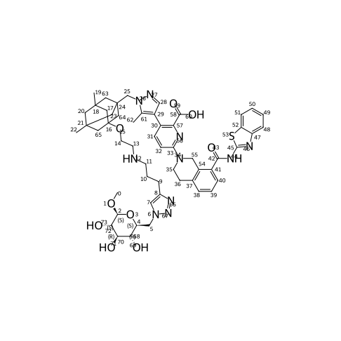 CO[C@H]1O[C@@H](Cn2cc(CCCNCCOC34CC5(C)CC(C)(CC(Cn6ncc(-c7ccc(N8CCc9cccc(C(=O)Nc%10nc%11ccccc%11s%10)c9C8)nc7C(=O)O)c6C)(C5)C3)C4)nn2)[C@H](O)[C@@H](O)[C@@H]1O